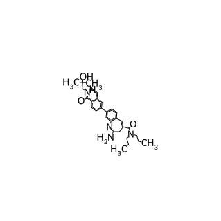 CCCN(CCC)C(=O)C1=Cc2ccc(-c3ccc4c(=O)n(CC(C)(C)O)ncc4c3)cc2N=C(N)C1